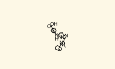 Cc1cc(-c2cnc3ccc(NC45CCC(C(=O)O)(CC4)CC5)nn23)nn1C1CCCCO1